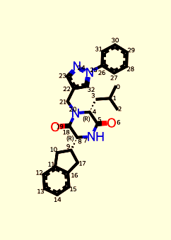 CC(C)C[C@@H]1C(=O)N[C@H](C2Cc3ccccc3C2)C(=O)N1Cc1cnn(-c2ccccc2)c1